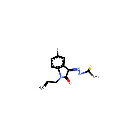 C=CCN1C(=O)C(=NNC(=S)SC)c2cc(I)ccc21